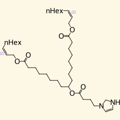 CCCCCC/C=C\COC(=O)CCCCCCCC(CCCCCCCC(=O)OC/C=C\CCCCCC)OC(=O)CCCN1C=CNC1